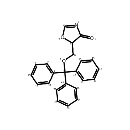 O=C1N=COC1COC(c1ccccc1)(c1ccccc1)c1ccccc1